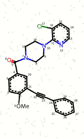 COc1ccc(C(=O)N2CCN(c3ncccc3Cl)CC2)cc1C#Cc1ccccc1